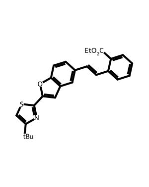 CCOC(=O)c1ccccc1C=Cc1ccc2oc(-c3nc(C(C)(C)C)cs3)cc2c1